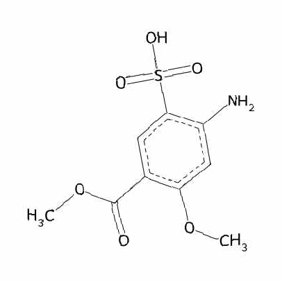 COC(=O)c1cc(S(=O)(=O)O)c(N)cc1OC